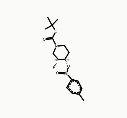 Cc1ccc(S(=O)O[C@H]2CCN(C(=O)OC(C)(C)C)C[C@H]2F)cc1